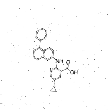 O=C(O)c1cc(C2CC2)cnc1Nc1ccc2c(-c3ccccc3)cccc2c1